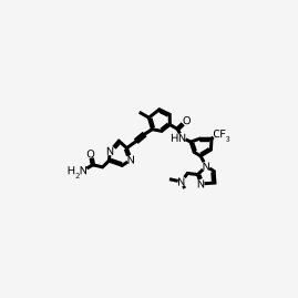 Cc1ccc(C(=O)Nc2cc(-n3ccnc3CN(C)C)cc(C(F)(F)F)c2)cc1C#Cc1cnc(CC(N)=O)cn1